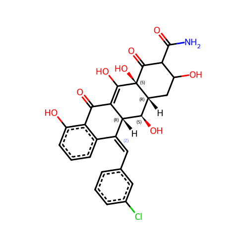 NC(=O)C1C(=O)[C@@]2(O)C(O)=C3C(=O)c4c(O)cccc4/C(=C\c4cccc(Cl)c4)[C@H]3[C@H](O)[C@H]2CC1O